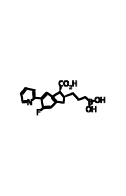 O=C(O)[C@@H]1c2cc(-c3ccccn3)c(F)cc2C[C@@H]1CCCB(O)O